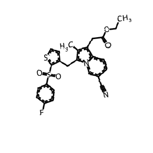 CCOC(=O)Cc1c(C)c(Cc2ccsc2S(=O)(=O)c2ccc(F)cc2)n2cc(C#N)ccc12